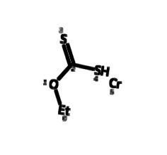 CCOC(=S)S.[Cr]